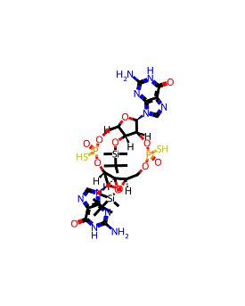 CC(C)(C)[Si](C)(C)O[C@H]1[C@H]2OP(=O)(S)OC[C@H]3O[C@@H](n4cnc5c(=O)[nH]c(N)nc54)[C@H](OP(=O)(S)OC[C@H]1O[C@H]2n1cnc2c(=O)[nH]c(N)nc21)[C@@H]3O[Si](C)(C)C(C)(C)C